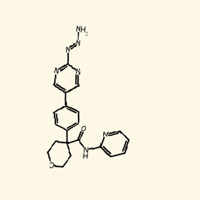 NN=Nc1ncc(-c2ccc(C3(C(=O)Nc4ccccn4)CCOCC3)cc2)cn1